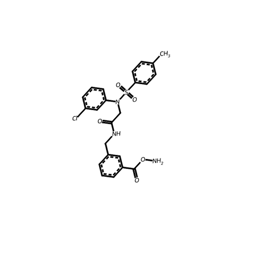 Cc1ccc(S(=O)(=O)N(CC(=O)NCc2cccc(C(=O)ON)c2)c2cccc(Cl)c2)cc1